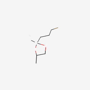 CC1CO[Si](C)(CCC[S-])O1.[Na+]